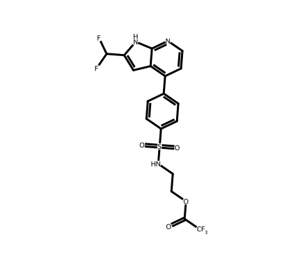 O=C(OCCNS(=O)(=O)c1ccc(-c2ccnc3[nH]c(C(F)F)cc23)cc1)C(F)(F)F